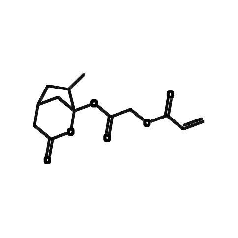 C=CC(=O)OCC(=O)OC12CC(CC(=O)O1)CC2C